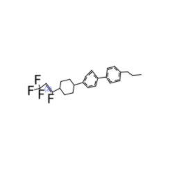 CCCc1ccc(-c2ccc(C3CCC(/C(F)=C/C(F)(F)F)CC3)cc2)cc1